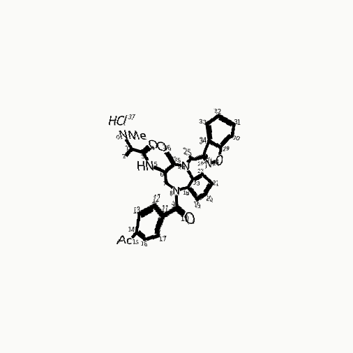 CNC(C)C(=O)NC1CN(C(=O)c2ccc(C(C)=O)cc2)c2ccccc2N(Cc2noc3ccccc23)C1=O.Cl